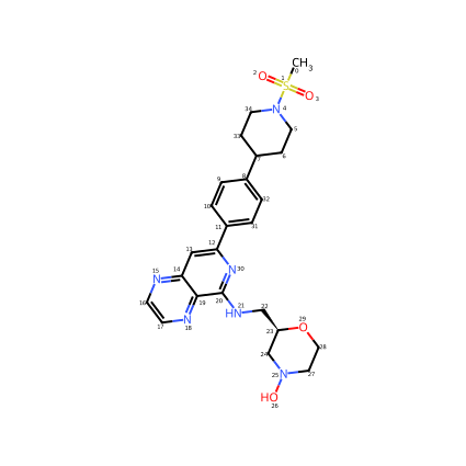 CS(=O)(=O)N1CCC(c2ccc(-c3cc4nccnc4c(NC[C@@H]4CN(O)CCO4)n3)cc2)CC1